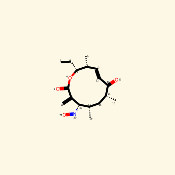 C=C1C(=O)O[C@H](CC)[C@H](C)/C=C/C(=O)[C@H](C)C[C@H](C)[C@@H]1N=O